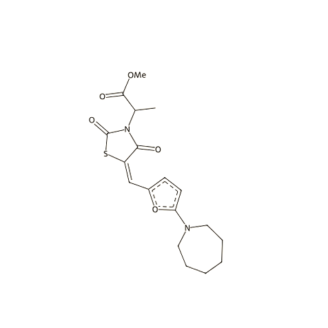 COC(=O)C(C)N1C(=O)S/C(=C/c2ccc(N3CCCCCC3)o2)C1=O